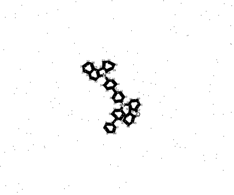 c1ccc(-c2ccc(N(c3ccc(-c4ccc(-n5c6ccccc6c6c7ccccc7ccc65)cc4)cc3)c3cccc4oc5ccccc5c34)cc2)cc1